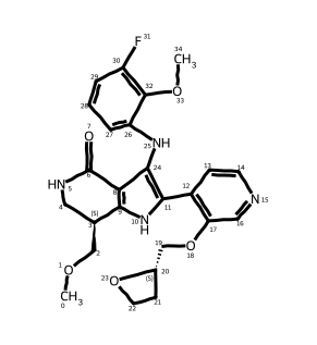 COC[C@H]1CNC(=O)c2c1[nH]c(-c1ccncc1OC[C@@H]1CCO1)c2Nc1cccc(F)c1OC